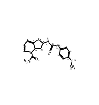 NC(=O)C1C=CC=C2SC(NC(=O)Nc3ccc(OC(F)(F)F)cc3)CC21